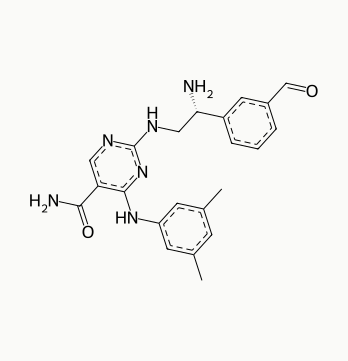 Cc1cc(C)cc(Nc2nc(NC[C@H](N)c3cccc(C=O)c3)ncc2C(N)=O)c1